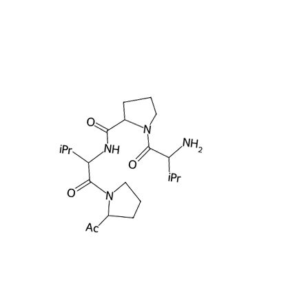 CC(=O)C1CCCN1C(=O)C(NC(=O)C1CCCN1C(=O)C(N)C(C)C)C(C)C